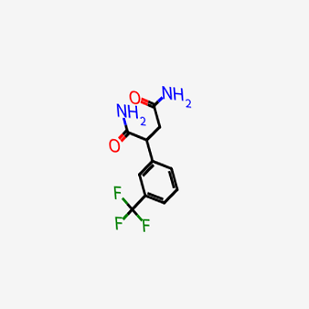 NC(=O)CC(C(N)=O)c1cccc(C(F)(F)F)c1